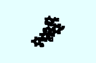 CC(=O)N1CCO[C@@H](Cc2c(-c3c(Cl)cc(N4CCCC4=O)cc3Cl)nc3cc(C)ccn23)C1